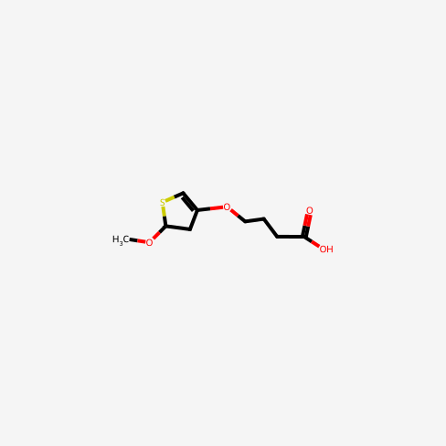 CO[C]1CC(OCCCC(=O)O)=CS1